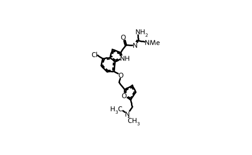 CNC(N)=NC(=O)c1cc2c(Cl)ccc(OCc3ccc(CN(C)C)o3)c2[nH]1